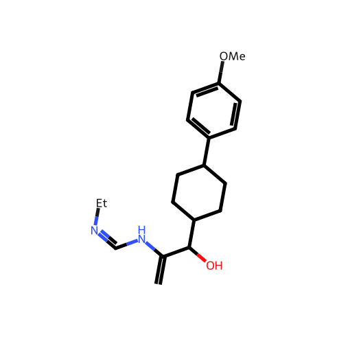 C=C(N/C=N\CC)C(O)C1CCC(c2ccc(OC)cc2)CC1